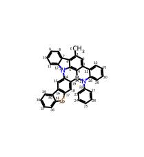 Cc1cc2c3c4c1c1ccccc1n4-c1cc4c(cc1B3N(c1ccccc1)c1ccccc1-2)sc1ccccc14